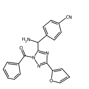 N#Cc1ccc(C(N)c2nc(-c3ccco3)nn2C(=O)c2ccccc2)cc1